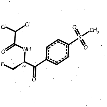 CS(=O)(=O)c1ccc(C(=O)[C@@H](CF)NC(=O)C(Cl)Cl)cc1